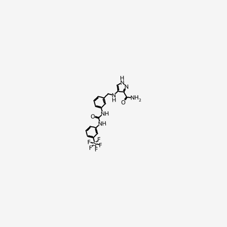 NC(=O)c1n[nH]cc1NCc1cccc(NC(=O)Nc2cccc(S(F)(F)(F)(F)F)c2)c1